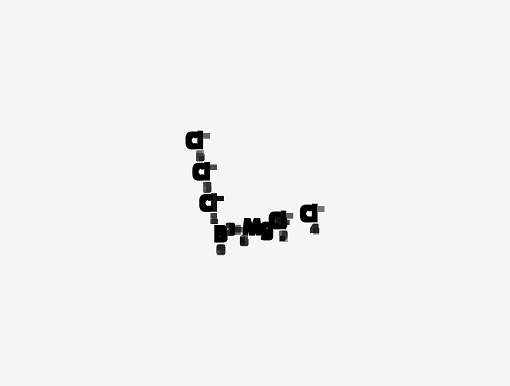 [B+3].[Cl-].[Cl-].[Cl-].[Cl-].[Cl-].[Mg+2]